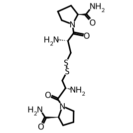 NC(=O)[C@@H]1CCCN1C(=O)[C@@H](N)CSSC[C@H](N)C(=O)N1CCC[C@H]1C(N)=O